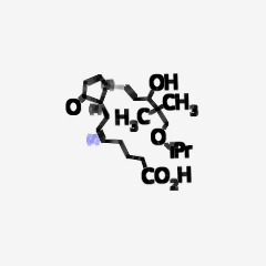 CC(C)OCC(C)(C)C(O)C=C[C@H]1C=CC(=O)[C@@H]1C/C=C\CCCC(=O)O